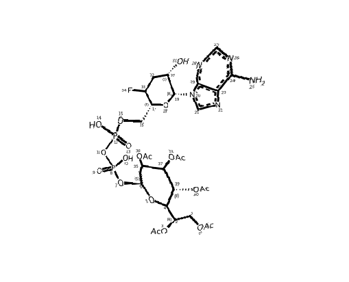 CC(=O)OC[C@@H](OC(C)=O)C1O[C@@H](OP(=O)(O)OP(=O)(O)OC[C@H]2O[C@@H](n3cnc4c(N)ncnc43)[C@@H](O)CC2F)C(OC(C)=O)C(OC(C)=O)[C@@H]1OC(C)=O